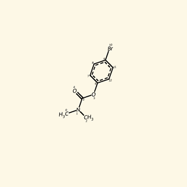 CN(C)C(=O)Oc1ccc(Br)cc1